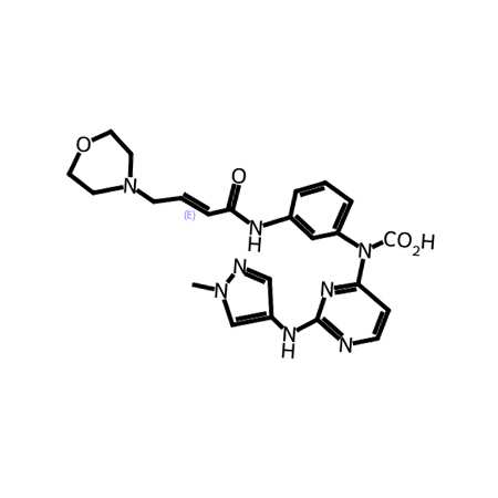 Cn1cc(Nc2nccc(N(C(=O)O)c3cccc(NC(=O)/C=C/CN4CCOCC4)c3)n2)cn1